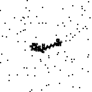 C=C(NCCCCCCNC(C)=O)NCC1=CCCN=C1